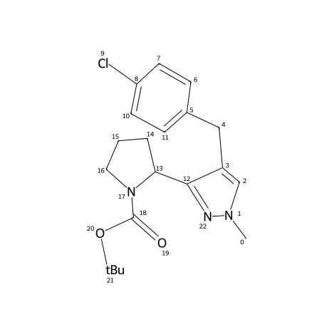 Cn1cc(Cc2ccc(Cl)cc2)c(C2CCCN2C(=O)OC(C)(C)C)n1